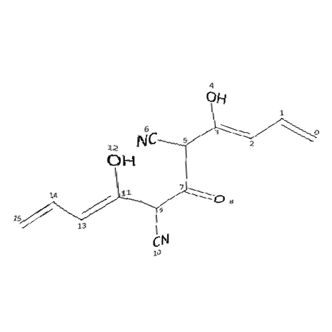 C=C/C=C(\O)C(C#N)C(=O)C(C#N)/C(O)=C/C=C